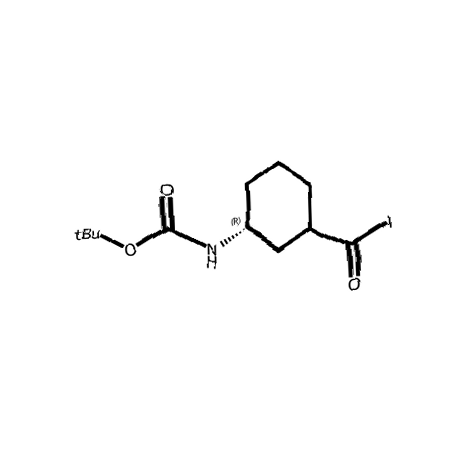 CC(C)(C)OC(=O)N[C@@H]1CCCC(C(=O)I)C1